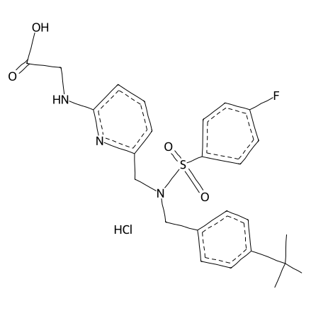 CC(C)(C)c1ccc(CN(Cc2cccc(NCC(=O)O)n2)S(=O)(=O)c2ccc(F)cc2)cc1.Cl